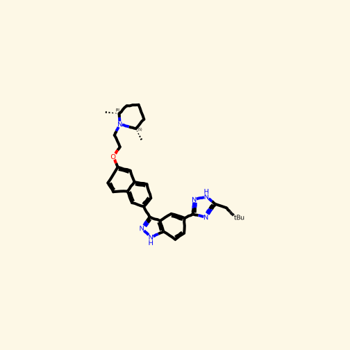 C[C@@H]1CCC[C@H](C)N1CCOc1ccc2cc(-c3n[nH]c4ccc(-c5n[nH]c(CC(C)(C)C)n5)cc34)ccc2c1